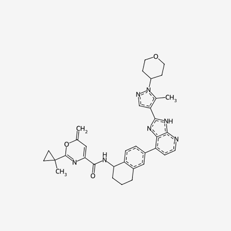 C=C1C=C(C(=O)NC2CCCc3cc(-c4ccnc5[nH]c(-c6cnn(C7CCOCC7)c6C)nc45)ccc32)N=C(C2(C)CC2)O1